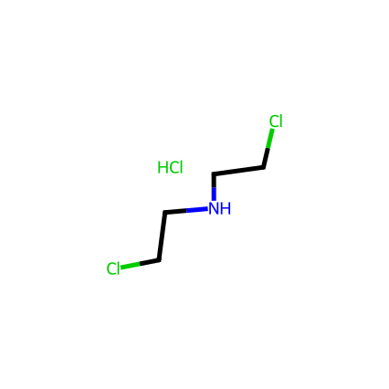 Cl.ClCCNCCCl